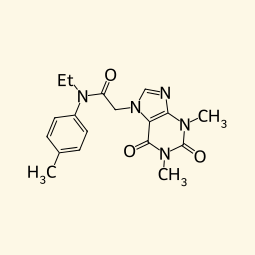 CCN(C(=O)Cn1cnc2c1c(=O)n(C)c(=O)n2C)c1ccc(C)cc1